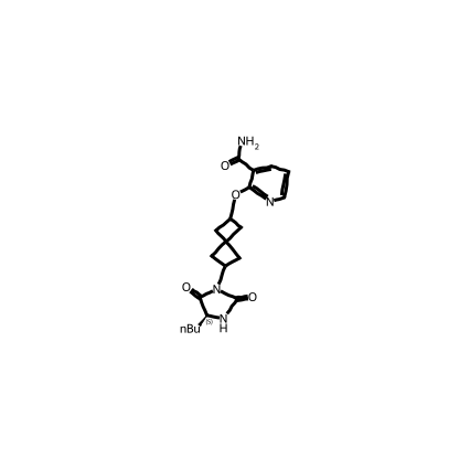 CCCC[C@@H]1NC(=O)N(C2CC3(CC(Oc4ncccc4C(N)=O)C3)C2)C1=O